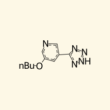 CCCCOc1cncc(-c2nn[nH]n2)c1